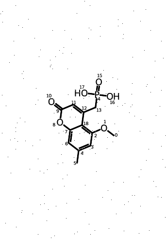 COc1cc(C)cc2oc(=O)cc(CP(=O)(O)O)c12